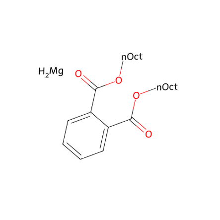 CCCCCCCCOC(=O)c1ccccc1C(=O)OCCCCCCCC.[MgH2]